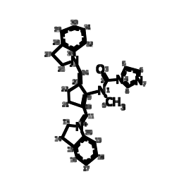 CN(C(=O)n1ccnc1)C1=C(/C=[N+]2\CCc3ccccc32)CC/C1=C\N1CCc2ccccc21